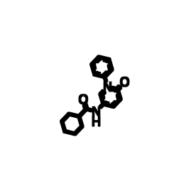 O=C(Nc1ccc(=O)n(-c2ccccc2)c1)C1CCCCC1